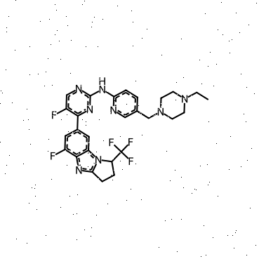 CCN1CCN(Cc2ccc(Nc3ncc(F)c(-c4cc(F)c5nc6n(c5c4)C(C(F)(F)F)CC6)n3)nc2)CC1